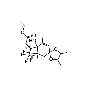 CCOC(=O)/C=C(/C(F)(F)F)C1(O)C(C)=CC2(CC1(C)C(F)(F)F)OC(C)C(C)O2